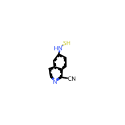 N#Cc1nccc2cc(NS)ccc12